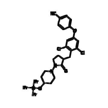 CC(C)[Si](OC1CCN(N2CCC(Cc3c(Cl)cc(Oc4ccc(C#N)cc4)cc3Cl)C2=O)CC1)(C(C)C)C(C)C